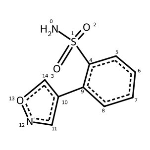 NS(=O)(=O)c1ccccc1-c1cnoc1